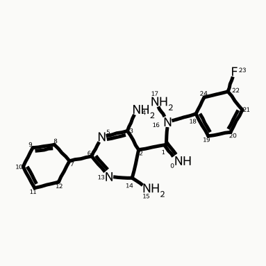 N=C(C1C(N)=NC(C2C=CC=CC2)=NC1N)N(N)C1=CC=CC(F)C1